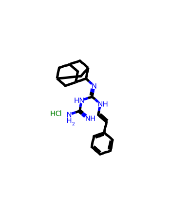 Cl.N=C(N)NC(=NC1C2CC3CC(C2)CC1C3)NC=Cc1ccccc1